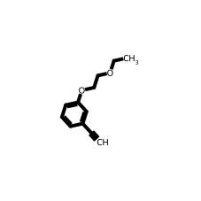 C#Cc1cccc(OCCOCC)c1